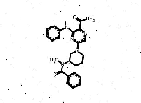 CN(C(=O)c1ccccc1)[C@@H]1CCCN(c2cnc(C(N)=O)c(Nc3ccccc3)n2)C1